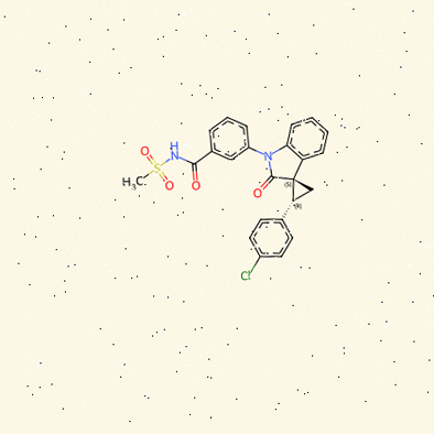 CS(=O)(=O)NC(=O)c1cccc(N2C(=O)[C@]3(C[C@@H]3c3ccc(Cl)cc3)c3ccccc32)c1